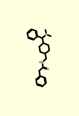 CN(C)C(c1ccccc1)C1CCC(CNC(=O)Cc2ccccc2)CC1